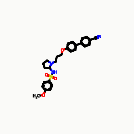 COc1ccc(S(=O)(=O)NC2CCCN2CCCOc2ccc(-c3ccc(C#N)cc3)cc2)cc1